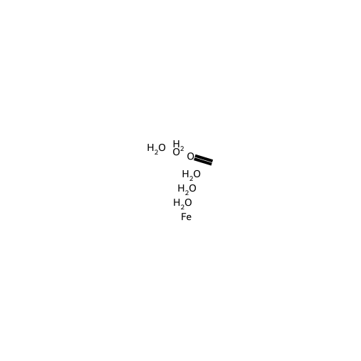 C=O.O.O.O.O.O.[Fe]